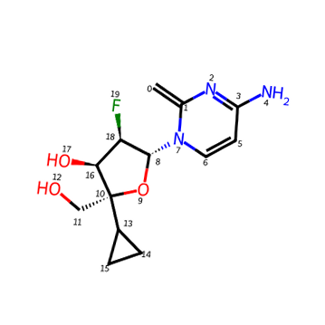 C=C1N=C(N)C=CN1[C@@H]1O[C@@](CO)(C2CC2)[C@@H](O)[C@H]1F